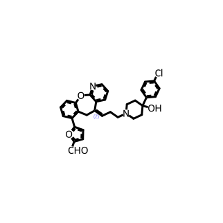 O=Cc1ccc(-c2cccc3c2C/C(=C/CCN2CCC(O)(c4ccc(Cl)cc4)CC2)c2cccnc2O3)o1